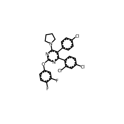 Fc1ccc(Oc2nc(-c3ccc(Cl)cc3Cl)c(-c3ccc(Cl)cc3)c(N3CCCC3)n2)cc1F